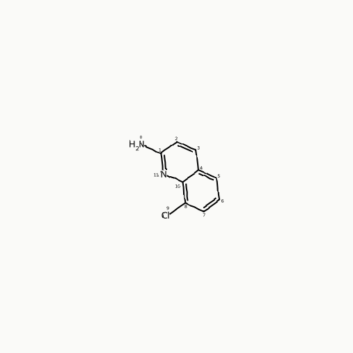 Nc1ccc2cccc(Cl)c2n1